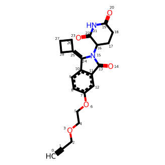 C#CCOCCOc1ccc2c(c1)C(=O)N(C1CCC(=O)NC1=O)C2=C1CCC1